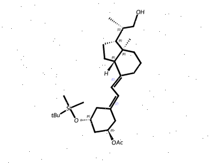 CC(=O)O[C@@H]1C/C(=C/C=C2\CCC[C@]3(C)[C@@H]([C@H](C)CO)CC[C@@H]23)C[C@@H](O[Si](C)(C)C(C)(C)C)C1